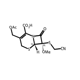 CO[C@@]1(SCC#N)C(=O)N2C(C(=O)O)=C(COC(C)=O)CS[C@H]21